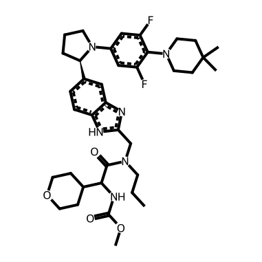 CCCN(Cc1nc2cc([C@H]3CCCN3c3cc(F)c(N4CCC(C)(C)CC4)c(F)c3)ccc2[nH]1)C(=O)C(NC(=O)OC)C1CCOCC1